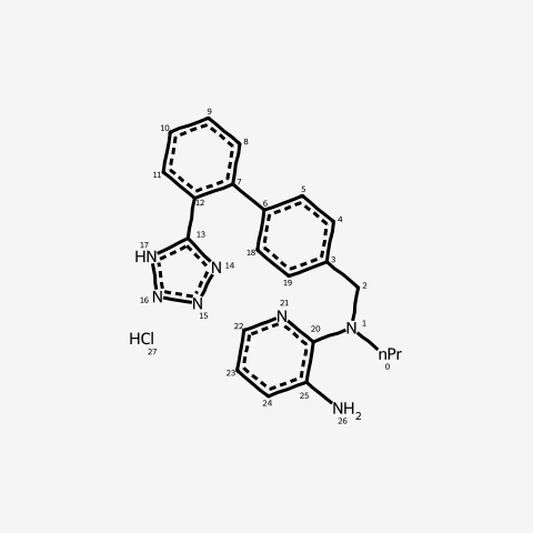 CCCN(Cc1ccc(-c2ccccc2-c2nnn[nH]2)cc1)c1ncccc1N.Cl